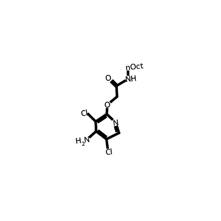 CCCCCCCCNC(=O)COc1ncc(Cl)c(N)c1Cl